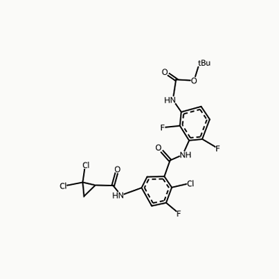 CC(C)(C)OC(=O)Nc1ccc(F)c(NC(=O)c2cc(NC(=O)C3CC3(Cl)Cl)cc(F)c2Cl)c1F